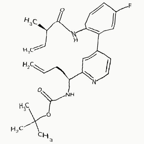 C=CC[C@H](NC(=O)OC(C)(C)C)c1cc(-c2cc(F)ccc2NC(=O)[C@H](C)C=C)ccn1